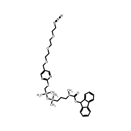 CN(CCC[Si](C)(C)O[Si](C)(C)CSc1ncc(COCCOCCOCCN=[N+]=[N-])cn1)C(=O)OC1c2ccccc2-c2ccccc21